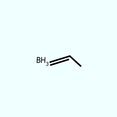 B.C=CC